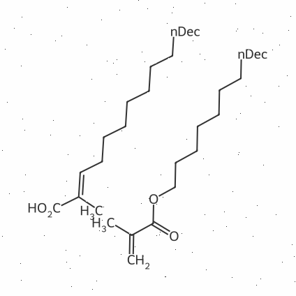 C=C(C)C(=O)OCCCCCCCCCCCCCCCCC.CCCCCCCCCCCCCCCCCC=C(C)C(=O)O